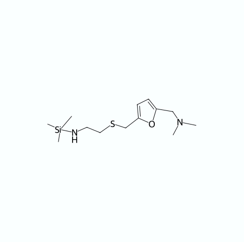 CN(C)Cc1ccc(CSCCN[Si](C)(C)C)o1